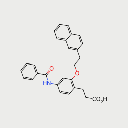 O=C(O)CCc1ccc(NC(=O)c2ccccc2)cc1OCCc1ccc2ccccc2c1